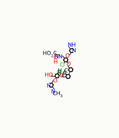 C/N=C/c1cncc(COc2cc(OCc3cccc(-c4cccc(COc5cc(OCc6cncc(C=N)c6)c(CNCC(O)C(=O)O)cc5Cl)c4C)c3C)c(Cl)cc2CO)c1